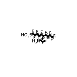 C=CCN.O=S(=O)(O)C(F)C(F)C(F)C(F)C(F)C(F)C(F)C(F)C(F)C(F)F